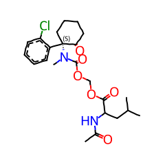 CC(=O)NC(CC(C)C)C(=O)OCOC(=O)N(C)[C@]1(c2ccccc2Cl)CCCCC1=O